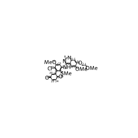 COCCOc1cc2ncnc(Nc3cc(OC)c(Cl)c(C4=CC(=O)C=CC4=O)c3SC)c2cc1OC